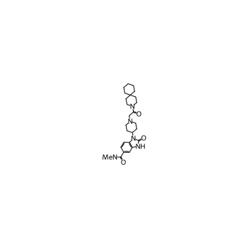 CNC(=O)c1ccc2c(c1)[nH]c(=O)n2C1CCN(CC(=O)N2CCC3(CCCCC3)CC2)CC1